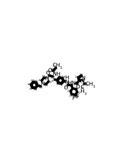 CCC(=O)N[C@H](Cc1ccc(NC(=O)[C@@H](NC(=O)c2ccnn2C(C)C)C2CCC(F)(F)CC2)cc1)C(=O)N1CCN(Cc2ccccc2)CC1